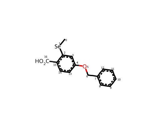 C[Se]c1cc(OCc2ccccc2)ccc1C(=O)O